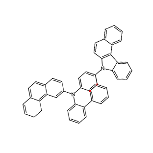 C1=Cc2ccc3ccc(N(c4ccc(-n5c6ccccc6c6c7ccccc7ccc65)cc4)c4ccccc4-c4ccccc4)cc3c2CC1